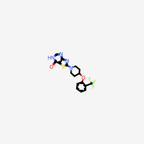 O=c1[nH]cnc2nc(N3CCC(Oc4ccccc4C(F)(F)F)CC3)sc12